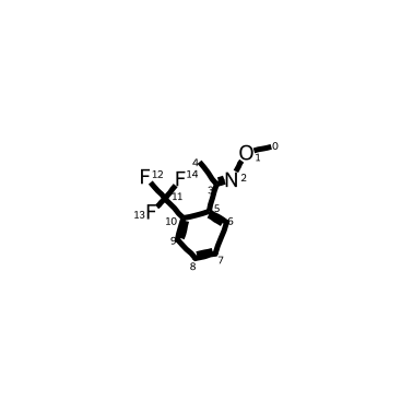 CO/N=C(\C)c1ccccc1C(F)(F)F